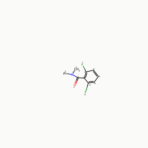 CC(C)N(C)C(=O)c1c(F)cccc1F